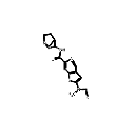 CN(C=O)c1cc2cnc(C(=O)NC3CN4CCC3C4)cc2s1